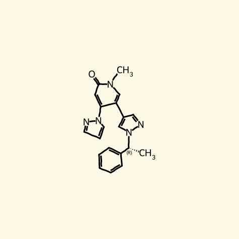 C[C@H](c1ccccc1)n1cc(-c2cn(C)c(=O)cc2-n2cccn2)cn1